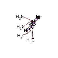 [C-]#[N+]C([N+]#[C-])=c1cc/c(=C\c2ccc(-c3ccc4c(c3)N(CCCC(CCCCCCCCCCCCCCCCCC)CCCCCCCCCCCCCCCCCC)C(=O)/C4=C3/C(=O)Oc4c3ccc3c5c(ccc43)/C(=C3\C(=O)N(CCCC(CCCCCCCCCCCCCCCCCC)CCCCCCCCCCCCCCCCCC)c4cc(-c6ccc(/C=c7\ccc(=C(C#N)C#N)s7)s6)ccc43)C(=O)O5)s2)s1